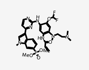 C=CC(=O)Nc1cc(Nc2nccc(-c3cn(C)c4cc(P(=O)(OC)OC)ccc34)n2)c(OC(F)F)cc1N(C)CCN(C)C